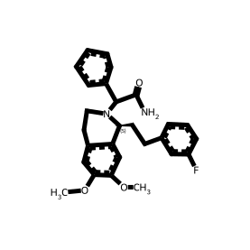 COc1cc2c(cc1OC)[C@H](CCc1cccc(F)c1)N(C(C(N)=O)c1ccccc1)CC2